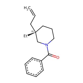 C=CC[C@]1(CC)CCCN(C(=O)c2ccccc2)C1